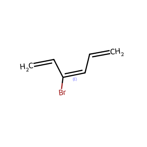 C=C/C=C(/Br)C=C